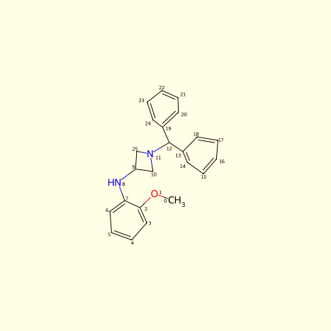 COc1ccccc1NC1CN(C(c2ccccc2)c2ccccc2)C1